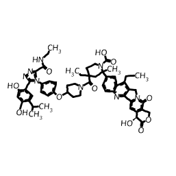 CCNC(=O)c1nnc(-c2cc(C(C)C)c(O)cc2O)n1-c1ccc(OC2CCN(C(=O)C3(CC)CCN(C(=O)O)C(C)(c4ccc5nc6c(c(CC)c5c4)Cn4c-6cc5c(c4=O)COC(=O)[C@H]5O)C3)CC2)cc1